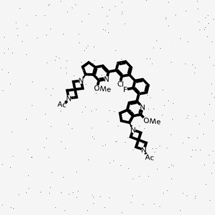 COc1nc(-c2cccc(-c3cccc(-c4cc5c(c(OC)n4)[C@@H](N4CC6(CN(C(C)=O)C6)C4)CC5)c3Cl)c2F)cc2c1[C@@H](N1CC3(CN(C(C)=O)C3)C1)CC2